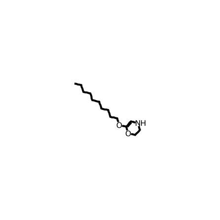 CCCCCCCCCCOC1=CNCCO1